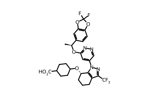 C[C@H](Oc1cc(-n2nc(C(F)(F)F)c3c2[C@@H](OC2CCC(C(=O)O)CC2)CCC3)cnn1)c1ccc2c(c1)OC(F)(F)O2